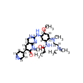 C=CC(=O)Nc1cc(Nc2ncc3cc(-c4ccncc4)c(=O)n(C)c3n2)c(OC)cc1N(C)CCN(C)C